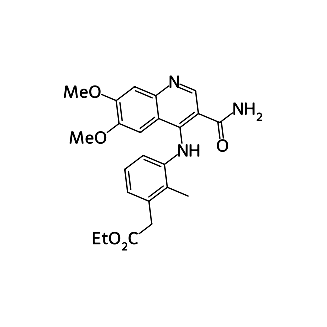 CCOC(=O)Cc1cccc(Nc2c(C(N)=O)cnc3cc(OC)c(OC)cc23)c1C